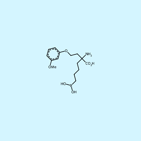 COc1cccc(OCCC(N)(CCCCB(O)O)C(=O)O)c1